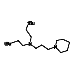 CC(C)(C)CCN(CCCN1CCCCC1)CCC(C)(C)C